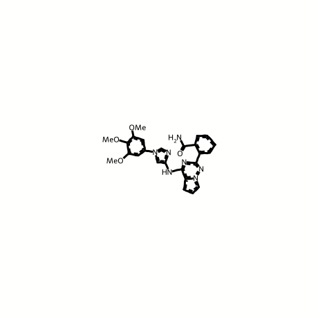 COc1cc(-n2cnc(Nc3nc(-c4ccccc4C(N)=O)nn4cccc34)c2)cc(OC)c1OC